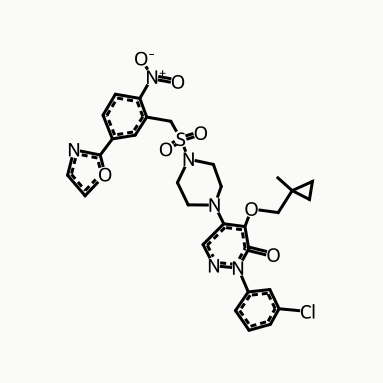 CC1(COc2c(N3CCN(S(=O)(=O)Cc4cc(-c5ncco5)ccc4[N+](=O)[O-])CC3)cnn(-c3cccc(Cl)c3)c2=O)CC1